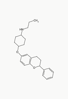 CCCNC1CCC(Oc2ccc3c(c2)CCC(c2ccccc2)O3)CC1